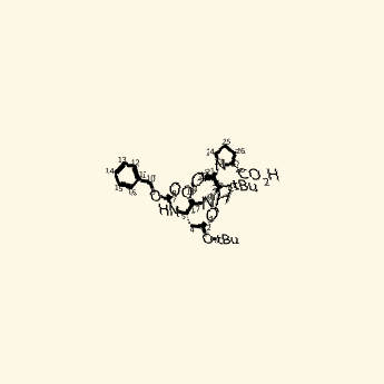 CC(C)(C)OC(=O)C[C@H](NC(=O)OCc1ccccc1)C(=O)N[C@@H](C(=O)N1CCC[C@@H]1C(=O)O)C(C)(C)C